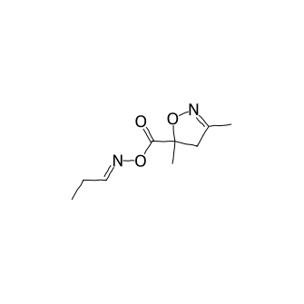 CC/C=N/OC(=O)C1(C)CC(C)=NO1